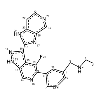 CCNCc1cncc(-c2ncc3[nH]nc(-c4nc5cnccc5[nH]4)c3c2F)c1